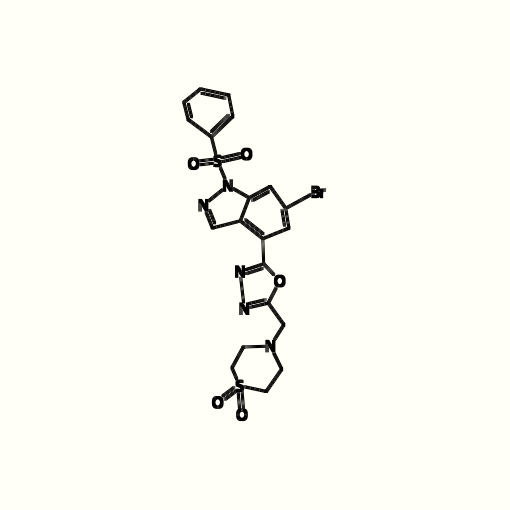 O=S1(=O)CCN(Cc2nnc(-c3cc(Br)cc4c3cnn4S(=O)(=O)c3ccccc3)o2)CC1